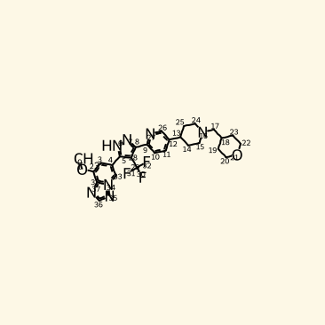 COc1cc(-c2[nH]nc(-c3ccc(C4CCN(CC5CCOCC5)CC4)cn3)c2C(F)(F)F)cn2ncnc12